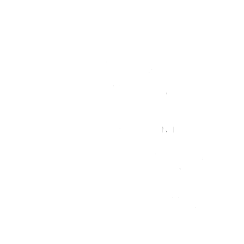 CCOC(=O)CNC(O)P(=O)(O)OOc1cccc(Cl)c1